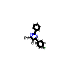 CC(C)c1nc(-c2ccccc2)nc(-c2ccc(F)cc2)c1C=O